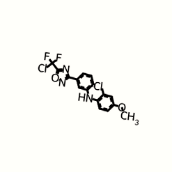 COc1ccc(Nc2[c]ccc(-c3noc(C(F)(F)Cl)n3)c2)c(Cl)c1